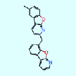 Cc1ccc2oc3nc(Cc4cccc5c4oc4ncccc45)ccc3c2c1